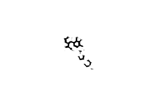 COC1CCN([C@@H]2CCN(c3ncc4c5c(c(-c6ncc(F)c7sc(N)c(C#N)c67)c(F)c4n3)COC5)C2)CC1